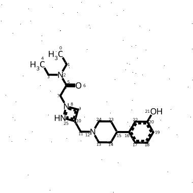 CCN(CC)C(=O)Cn1cc(CN2CCC(c3cccc(O)c3)CC2)[nH]1